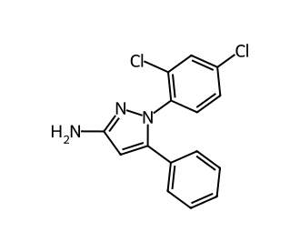 Nc1cc(-c2ccccc2)n(-c2ccc(Cl)cc2Cl)n1